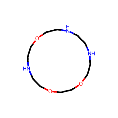 C1CNCCOCCOCCNCCOCCN1